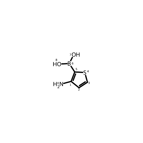 Nc1ccsc1B(O)O